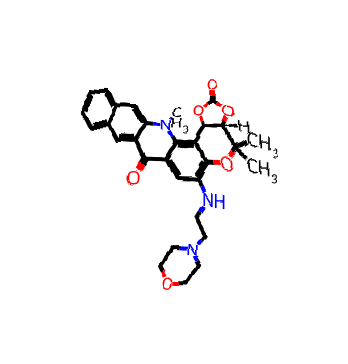 Cn1c2cc3ccccc3cc2c(=O)c2cc(NCCN3CCOCC3)c3c(c21)C1OC(=O)O[C@@H]1C(C)(C)O3